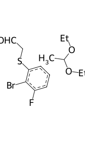 CCOC(C)OCC.O=CCSc1cccc(F)c1Br